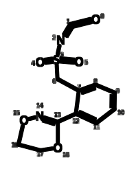 O=C=NS(=O)(=O)Cc1ccccc1C1=NOCCO1